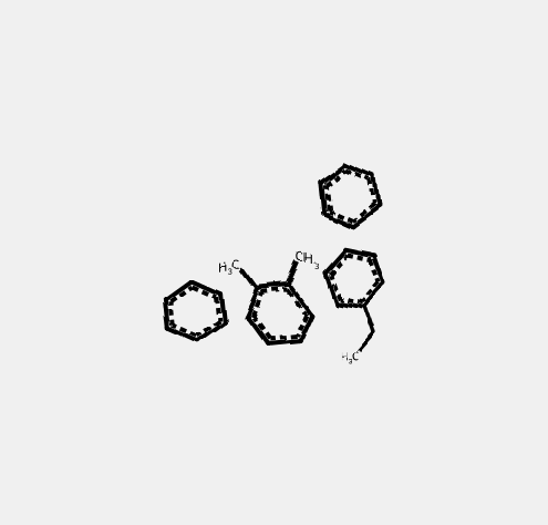 CCc1ccccc1.Cc1ccccc1C.c1ccccc1.c1ccccc1